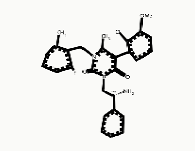 COc1cccc(-c2c(C)n(Cc3c(C)cccc3F)c(=O)n(C[C@H](N)c3ccccc3)c2=O)c1Cl